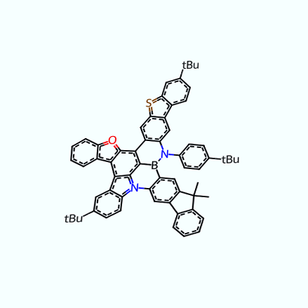 CC(C)(C)c1ccc(N2B3c4cc5c(cc4-n4c6ccc(C(C)(C)C)cc6c6c7c(oc8ccccc87)c(c3c64)-c3cc4sc6cc(C(C)(C)C)ccc6c4cc32)-c2ccccc2C5(C)C)cc1